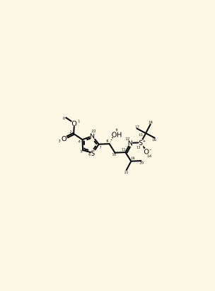 COC(=O)c1csc([C@H](O)CC(=N[S@+]([O-])C(C)(C)C)C(C)C)n1